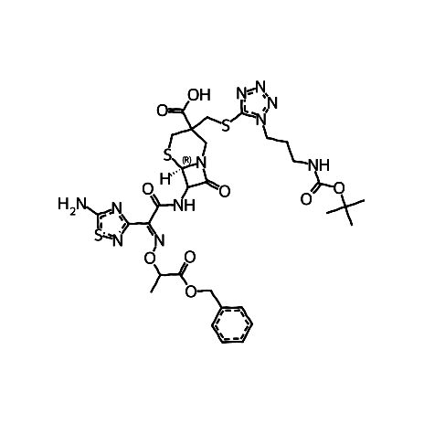 CC(ON=C(C(=O)NC1C(=O)N2CC(CSc3nnnn3CCCNC(=O)OC(C)(C)C)(C(=O)O)CS[C@H]12)c1nsc(N)n1)C(=O)OCc1ccccc1